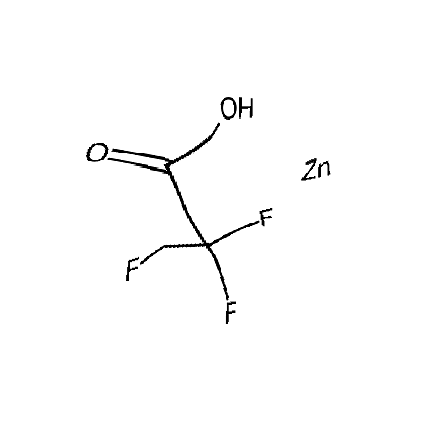 O=C(O)C(F)(F)F.[Zn]